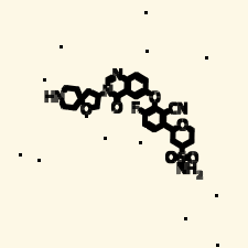 N#Cc1c(C2CC(S(N)(=O)=O)CCO2)ccc(F)c1Oc1ccc2ncn([C@H]3COC4(CCNCC4)C3)c(=O)c2c1